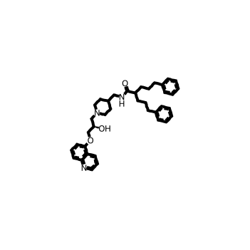 O=C(NCC1CCN(C[C@@H](O)COc2cccc3ncccc23)CC1)C(CCCc1ccccc1)CCCc1ccccc1